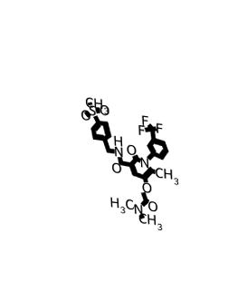 Cc1c(OCC(=O)N(C)C)cc(C(=O)NCc2ccc(S(C)(=O)=O)cc2)c(=O)n1-c1cccc(C(F)(F)F)c1